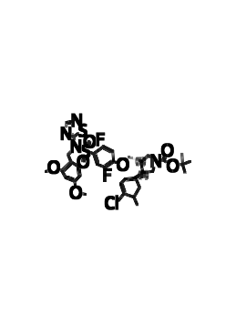 COc1ccc(CN(c2ncns2)S(=O)(=O)c2cc(F)c(OC[C@@H]3CN(C(=O)OC(C)(C)C)C[C@H]3C3=CC=C(Cl)C(C)C3)cc2F)c(OC)c1